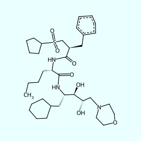 CCCC[C@H](NC(=O)[C@H](Cc1ccccc1)CS(=O)(=O)C1CCCC1)C(=O)N[C@@H](CC1CCCCC1)[C@@H](O)[C@@H](O)CN1CCOCC1